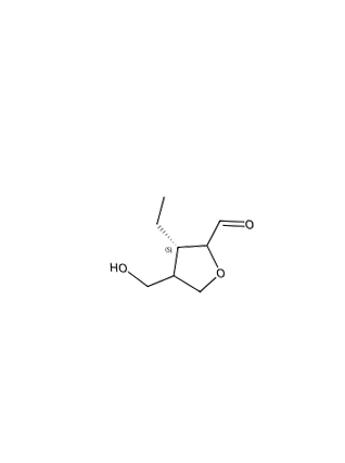 CC[C@H]1C(CO)COC1C=O